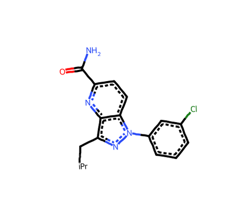 CC(C)Cc1nn(-c2cccc(Cl)c2)c2ccc(C(N)=O)nc12